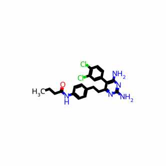 CCCC(=O)Nc1ccc(CCc2nc(N)nc(N)c2-c2ccc(Cl)c(Cl)c2)cc1